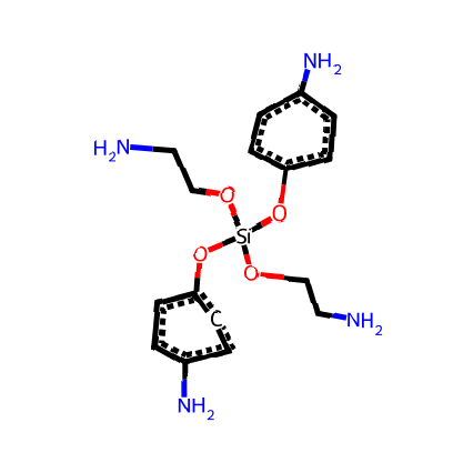 NCCO[Si](OCCN)(Oc1ccc(N)cc1)Oc1ccc(N)cc1